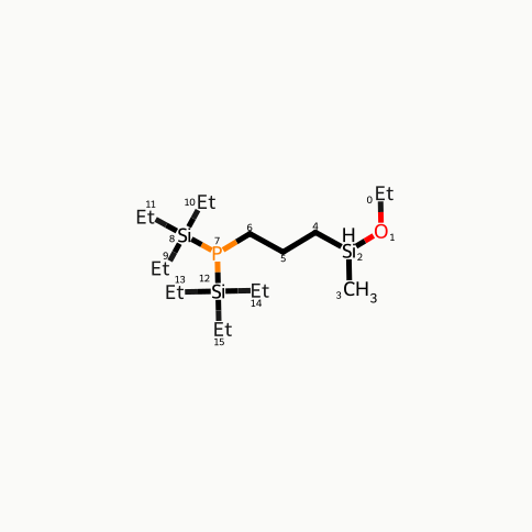 CCO[SiH](C)CCCP([Si](CC)(CC)CC)[Si](CC)(CC)CC